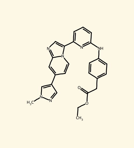 CCOC(=O)Cc1ccc(Nc2cccc(-c3cnc4cc(-c5cnn(C)c5)ccn34)n2)cc1